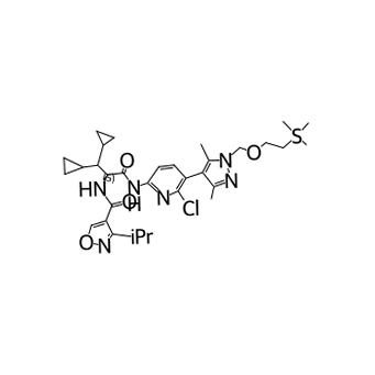 Cc1nn(COCCS(C)(C)C)c(C)c1-c1ccc(NC(=O)[C@@H](NC(=O)c2conc2C(C)C)C(C2CC2)C2CC2)nc1Cl